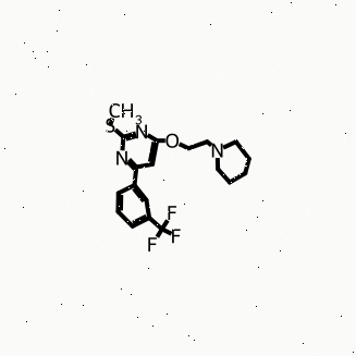 CSc1nc(OCCN2CCCCC2)cc(-c2cccc(C(F)(F)F)c2)n1